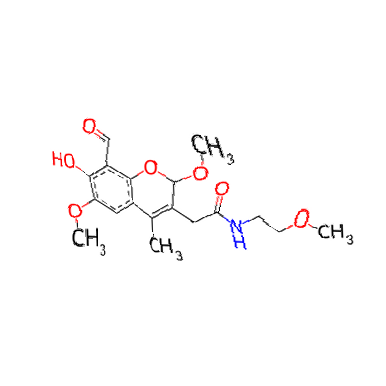 COCCNC(=O)CC1=C(C)c2cc(OC)c(O)c(C=O)c2OC1OC